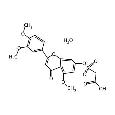 COc1ccc(-c2cc(=O)c3c(OC)cc(OS(=O)(=O)CC(=O)O)cc3o2)cc1OC.O